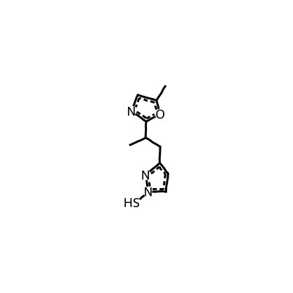 Cc1cnc(C(C)Cc2ccn(S)n2)o1